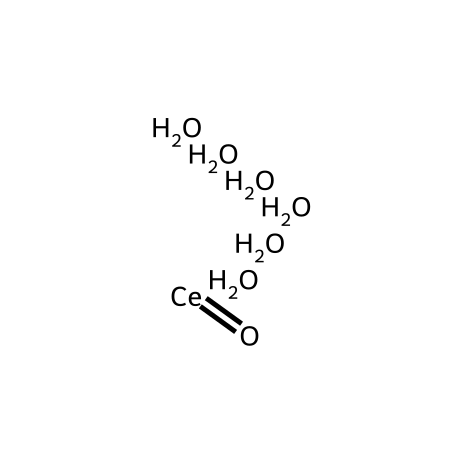 O.O.O.O.O.O.[O]=[Ce]